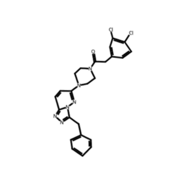 O=C(Cc1ccc(Cl)c(Cl)c1)N1CCN(c2ccc3nnc(Cc4ccccc4)n3n2)CC1